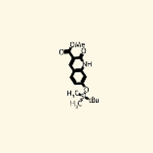 COC(=O)c1cc2ccc(O[Si](C)(C)C(C)(C)C)cc2[nH]c1=O